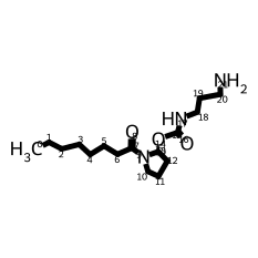 CCCCCCCC(=O)N1CCC[C@H]1OC(=O)NCCCN